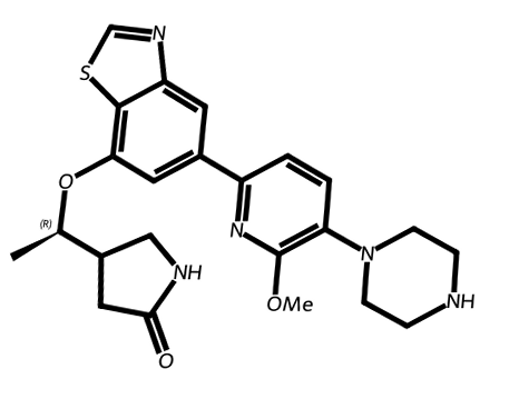 COc1nc(-c2cc(O[C@H](C)C3CNC(=O)C3)c3scnc3c2)ccc1N1CCNCC1